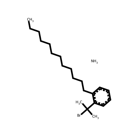 CCCCCCCCCCCCc1ccccc1C(C)(C)Br.N